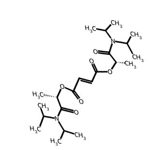 CC(C)N(C(=O)[C@H](C)OC(=O)/C=C/C(=O)O[C@@H](C)C(=O)N(C(C)C)C(C)C)C(C)C